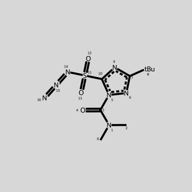 CN(C)C(=O)n1nc(C(C)(C)C)nc1S(=O)(=O)N=[N+]=[N-]